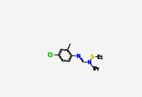 CCSN(C=Nc1ccc(Cl)cc1C)C(C)C